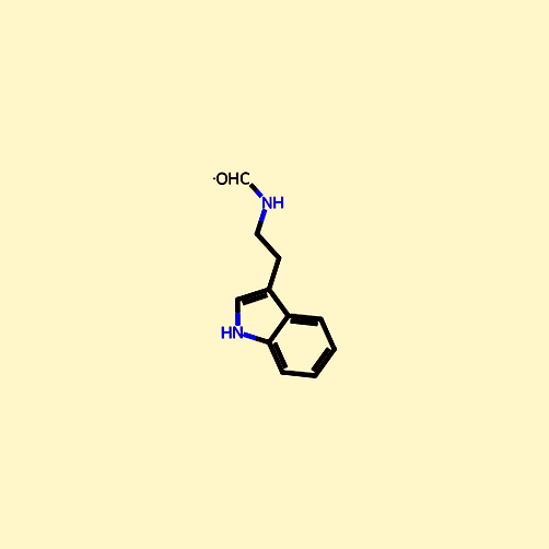 O=[C]NCCc1c[nH]c2ccccc12